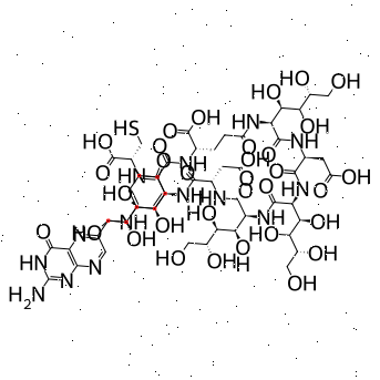 Nc1nc2ncc(CNc3ccc(C(=O)N[C@@H](CCC(=O)N[C@H](C(=O)N[C@@H](CC(=O)O)C(=O)N[C@H](C(=O)N[C@H](C(=O)N[C@@H](CC(=O)O)C(=O)N[C@H](C(=O)N[C@@H](CS)C(=O)O)[C@@H](O)[C@H](O)[C@H](O)CO)[C@@H](O)[C@H](O)[C@H](O)CO)[C@@H](O)C(O)[C@H](O)CO)[C@@H](O)C(O)[C@H](O)CO)C(=O)O)cc3)nc2c(=O)[nH]1